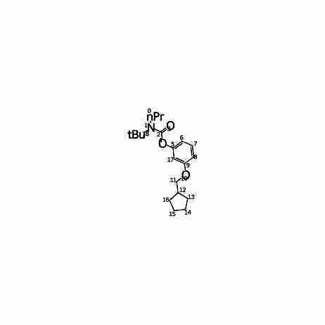 CCCN(C(=O)Oc1cccc(OCC2CCCC2)c1)C(C)(C)C